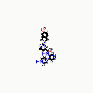 COc1ccc2c(c1)CN(c1nccc(C(=O)Nc3cnccc3N3CCNCC3)n1)C2